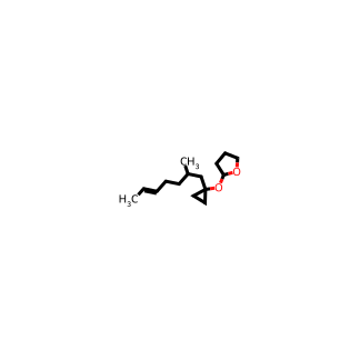 C/C=C/CCC(C)CC1(OC2CCCO2)CC1